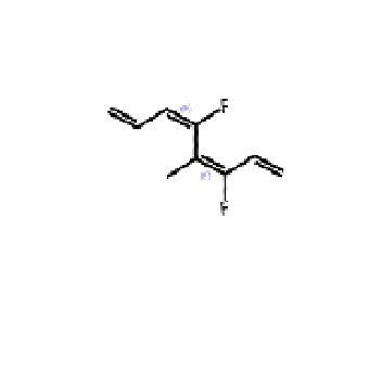 C=C/C=C(F)\C(C)=C(\F)C=C